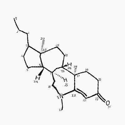 CCCC1CC[C@H]2[C@@H]3CN(C)C4=CC(=O)CC[C@]4(C)[C@H]3CC[C@]12C